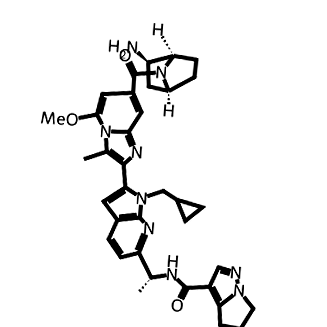 COc1cc(C(=O)N2[C@H]3CC[C@@H]2[C@H](N)C3)cc2nc(-c3cc4ccc([C@@H](C)NC(=O)c5cnn6c5CCC6)nc4n3CC3CC3)c(C)n12